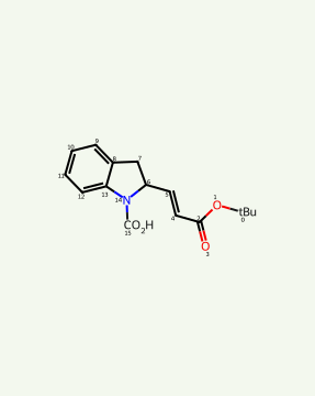 CC(C)(C)OC(=O)C=CC1Cc2ccccc2N1C(=O)O